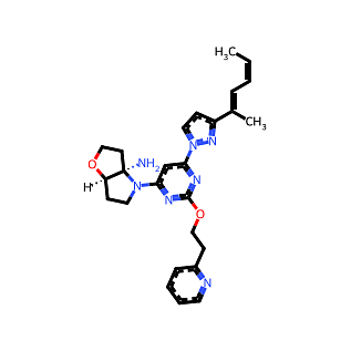 C/C=C\C=C(/C)c1ccn(-c2cc(N3CC[C@H]4OCC[C@]43N)nc(OCCc3ccccn3)n2)n1